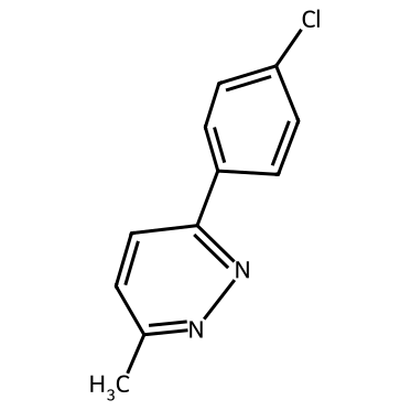 Cc1ccc(-c2ccc(Cl)cc2)nn1